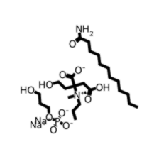 CCCCCCCCCCCC(N)=O.CCC[N+](C)(C)C(CCO)(CC(=O)O)C(=O)[O-].O=P([O-])([O-])OCCCO.[Na+].[Na+]